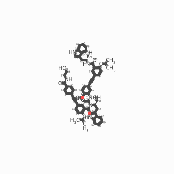 CC(C)Oc1ccc(C#Cc2ccc(C(=O)O)c(NC(CO)N(C(=O)c3cc(C#Cc4ccc(C(=O)NCCO)cc4)ccc3OC(C)C)[C@@H](CO)Cc3c[nH]c4ccccc34)c2)cc1C(=O)N[C@@H](CO)Cc1c[nH]c2ccccc12